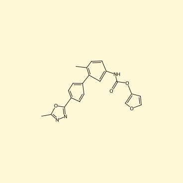 Cc1nnc(-c2ccc(-c3cc(NC(=O)Oc4ccoc4)ccc3C)cc2)o1